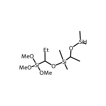 CCC(O[Si](C)(C)C(C)O[SiH](C)C)[Si](OC)(OC)OC